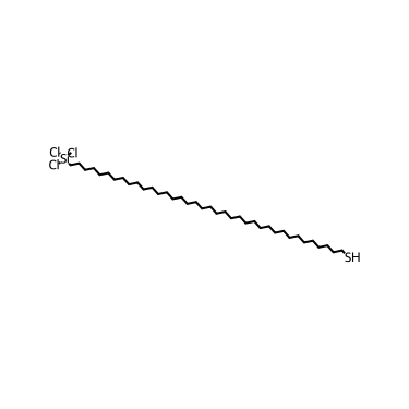 SCCCCCCCCCCCCCCCCCCCCCCCCCCCCCCCCCCCCCC[Si](Cl)(Cl)Cl